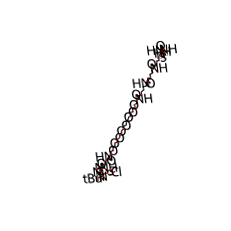 CC(C)(C)n1nc(-c2ccc(Cl)cc2)c2c(NC(=O)CCC(=O)NCCOCCOCCOCCOCCOCCOCCOCCOCCNC(=O)CCCCCNC(=O)CCCCCNC(=O)CCCC[C@@H]3SC[C@@H]4NC(=O)N[C@@H]43)ncnc21